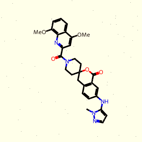 COc1cc(C(=O)N2CCC3(CC2)Cc2ccc(Nc4ccnn4C)cc2C(=O)O3)nc2c(OC)cccc12